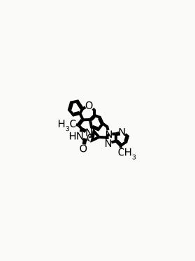 CC(=C1c2ccc(Cn3c(C4CC4)nc4c(C)ccnc43)cc2COc2ccccc21)c1noc(=O)[nH]1